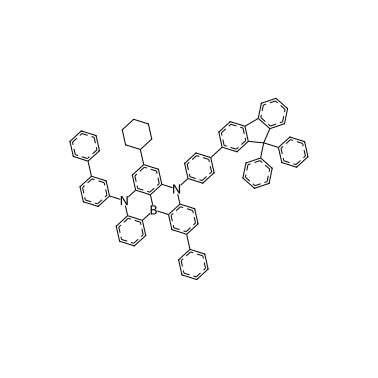 c1ccc(-c2cccc(N3c4ccccc4B4c5cc(-c6ccccc6)ccc5N(c5ccc(-c6ccc7c(c6)C(c6ccccc6)(c6ccccc6)c6ccccc6-7)cc5)c5cc(C6CCCCC6)cc3c54)c2)cc1